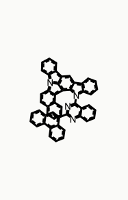 c1ccc2c(c1)cc(-c1nc(-n3c4ccccc4c4cc5c6ccccc6n6c7ccc8ccccc8c7c(c43)c56)c3ccccc3n1)c1ccccc12